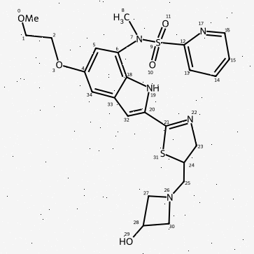 COCCOc1cc(N(C)S(=O)(=O)c2ccccn2)c2[nH]c(C3=NCC(CN4CC(O)C4)S3)cc2c1